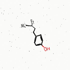 CCC(C#N)CCc1ccc(O)cc1